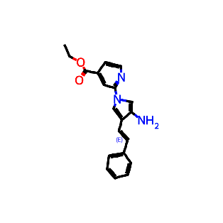 CCOC(=O)c1ccnc(-n2cc(N)c(/C=C/c3ccccc3)c2)c1